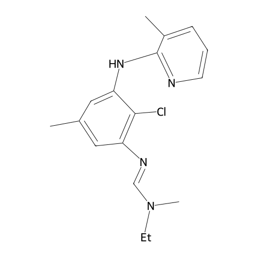 CCN(C)C=Nc1cc(C)cc(Nc2ncccc2C)c1Cl